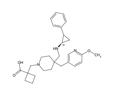 COc1ccc(CC2(CN[C@@H]3CC3c3ccccc3)CCN(CC3(C(=O)O)CCC3)CC2)cn1